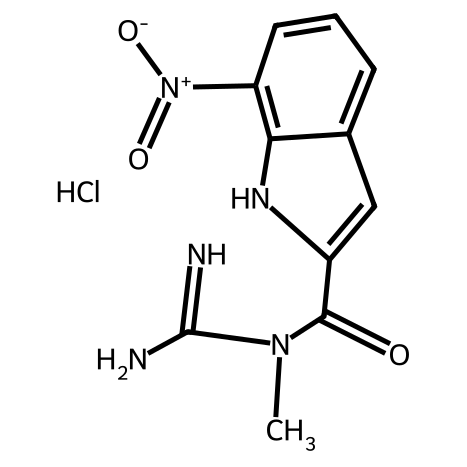 CN(C(=N)N)C(=O)c1cc2cccc([N+](=O)[O-])c2[nH]1.Cl